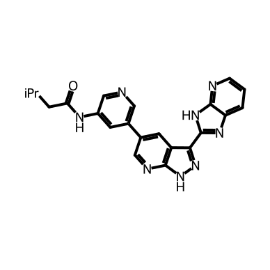 CC(C)CC(=O)Nc1cncc(-c2cnc3[nH]nc(-c4nc5cccnc5[nH]4)c3c2)c1